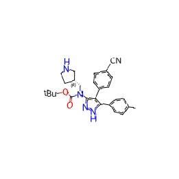 Cc1ccc(-c2[nH]nc(N(C[C@@H]3CCNC3)C(=O)OC(C)(C)C)c2-c2ccc(C#N)cc2)cc1